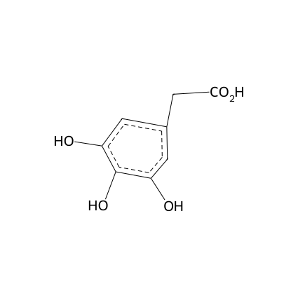 O=C(O)Cc1cc(O)c(O)c(O)c1